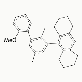 COc1ccccc1-c1cc(C)cc(-c2c3c(cc4c2CCCC4)CCCC3)c1C